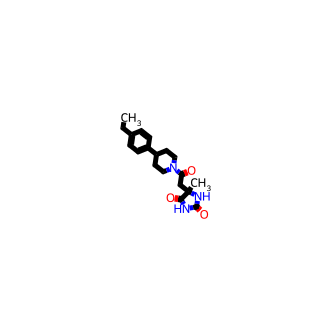 CCc1ccc(C2CCN(C(=O)CC3(C)NC(=O)NC3=O)CC2)cc1